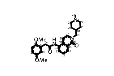 COc1ccc(OC)c(CC(=O)Nc2cccc3c(=O)n(CC4CCN(C)CC4)ccc23)c1